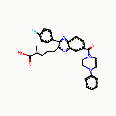 C[C@@H](CCCc1nc2cc(C(=O)N3CCN(c4ccccc4)CC3)ccc2nc1-c1ccc(F)cc1)C(=O)O